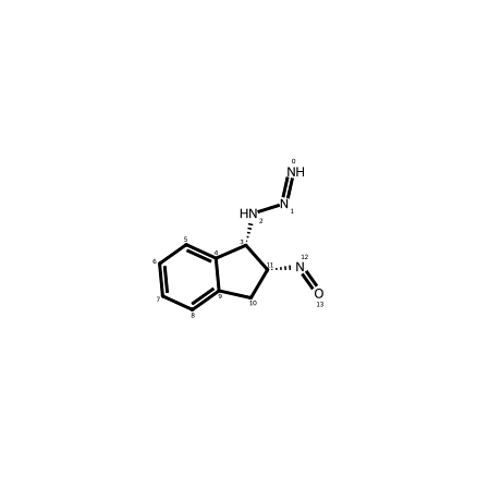 N=NN[C@H]1c2ccccc2C[C@H]1N=O